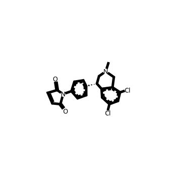 CN1Cc2c(Cl)cc(Cl)cc2[C@H](c2ccc(N3C(=O)C=CC3=O)cc2)C1